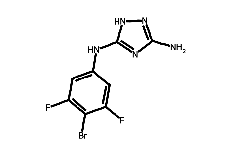 Nc1n[nH]c(Nc2cc(F)c(Br)c(F)c2)n1